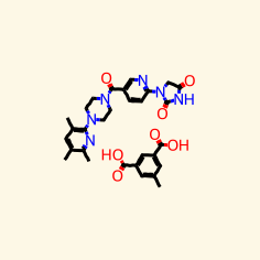 Cc1cc(C(=O)O)cc(C(=O)O)c1.Cc1cc(C)c(N2CCN(C(=O)c3ccc(N4CC(=O)NC4=O)nc3)CC2)nc1C